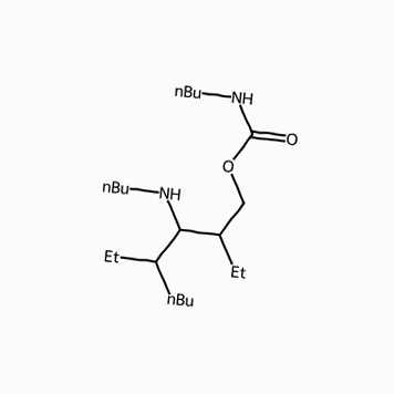 CCCCNC(=O)OCC(CC)C(NCCCC)C(CC)CCCC